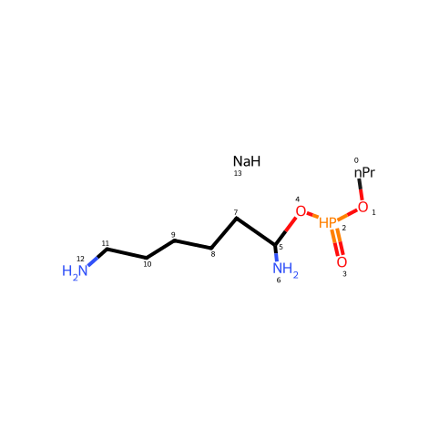 CCCO[PH](=O)OC(N)CCCCCN.[NaH]